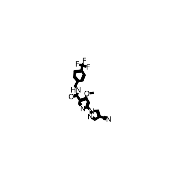 COc1cc(-n2cc(C#N)cn2)ncc1C(=O)NCc1ccc(C(F)(F)F)cc1